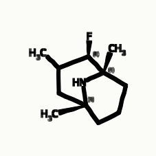 CC1C[C@@]2(C)CCC[C@](C)(N2)[C@@H]1F